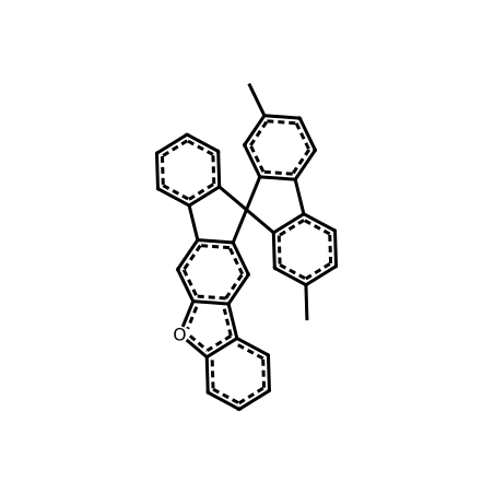 Cc1ccc2c(c1)C1(c3ccccc3-c3cc4oc5ccccc5c4cc31)c1cc(C)ccc1-2